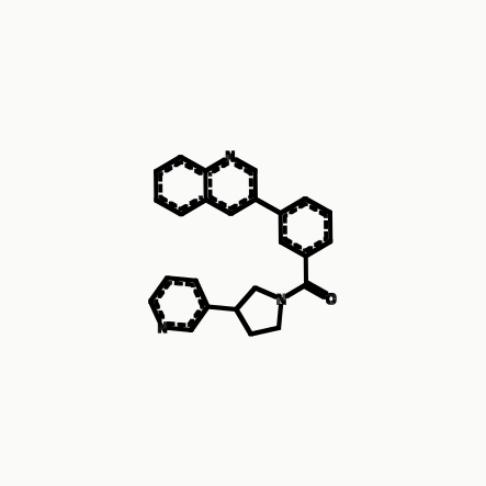 O=C(c1cccc(-c2cnc3ccccc3c2)c1)N1CCC(c2cccnc2)C1